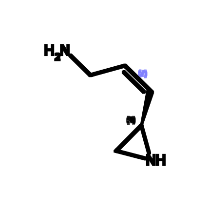 NC/C=C\[C@@H]1CN1